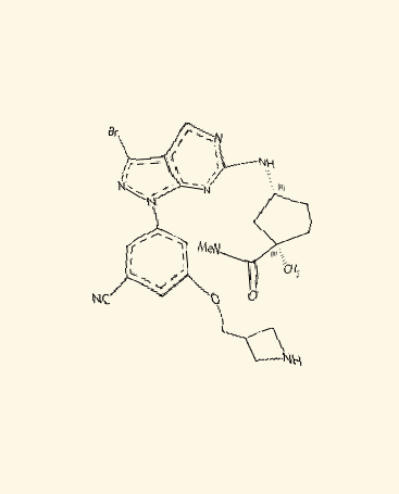 CNC(=O)[C@]1(C)CC[C@@H](Nc2ncc3c(Br)nn(-c4cc(C#N)cc(OCC5CNC5)c4)c3n2)C1